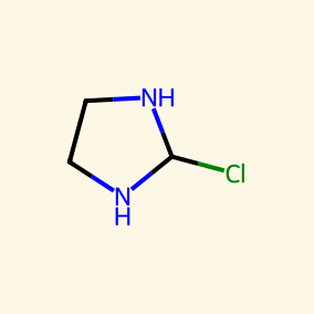 ClC1NCCN1